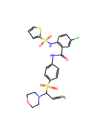 C=CC(N1CCOCC1)S(=O)(=O)c1ccc(NC(=O)c2cc(Cl)ccc2NS(=O)(=O)c2cccs2)cc1